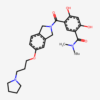 CCCCN(C)C(=O)c1cc(C(=O)N2Cc3ccc(OCCCN4CCCC4)cc3C2)c(O)cc1O